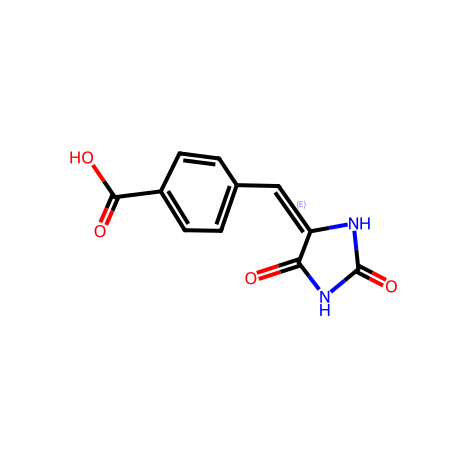 O=C1NC(=O)/C(=C\c2ccc(C(=O)O)cc2)N1